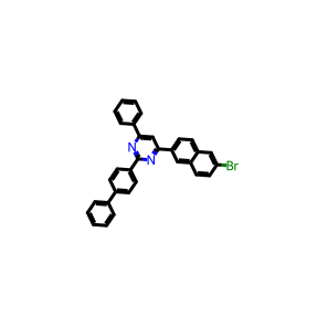 Brc1ccc2cc(-c3cc(-c4ccccc4)nc(-c4ccc(-c5ccccc5)cc4)n3)ccc2c1